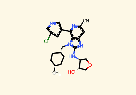 C[C@H]1CC[C@H](Cn2c(N[C@H]3COC[C@@H]3O)nc3cc(C#N)nc(-c4cncc(Cl)c4)c32)CC1